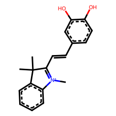 C[N+]1=C(/C=C/c2ccc(O)c(O)c2)C(C)(C)c2ccccc21